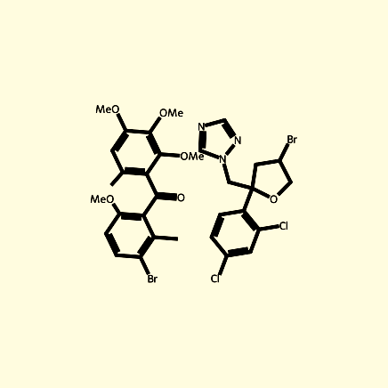 COc1cc(C)c(C(=O)c2c(OC)ccc(Br)c2C)c(OC)c1OC.Clc1ccc(C2(Cn3cncn3)CC(Br)CO2)c(Cl)c1